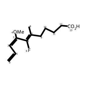 C=C/C=C(OC)\C(F)=C(/C)CCCCC(=O)O